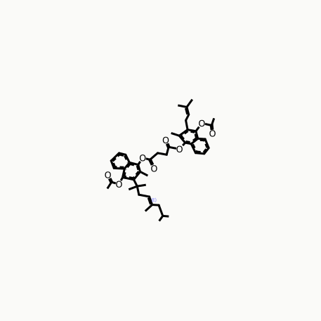 CC(=O)Oc1c(CC=C(C)C)c(C)c(OC(=O)CCC(=O)Oc2c(C)c(C(C)(C)C/C=C(\C)CC(C)C)c(OC(C)=O)c3ccccc23)c2ccccc12